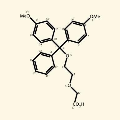 COc1ccc(C(OCCOCC(=O)O)(c2ccccc2)c2ccc(OC)cc2)cc1